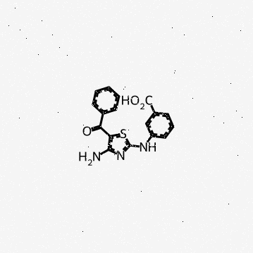 Nc1nc(Nc2cccc(C(=O)O)c2)sc1C(=O)c1ccccc1